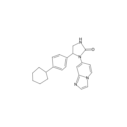 O=C1NCC(c2ccc(C3CCCCC3)cc2)N1c1ccn2ccnc2c1